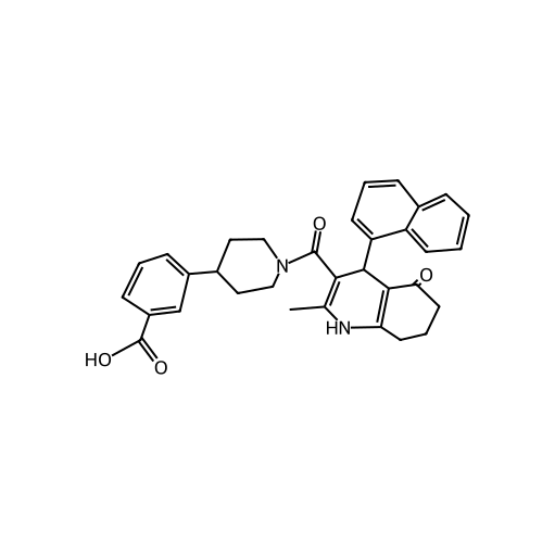 CC1=C(C(=O)N2CCC(c3cccc(C(=O)O)c3)CC2)C(c2cccc3ccccc23)C2=C(CCCC2=O)N1